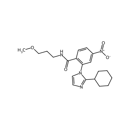 COCCCNC(=O)c1ccc([N+](=O)[O-])cc1-n1ccnc1C1CCCCC1